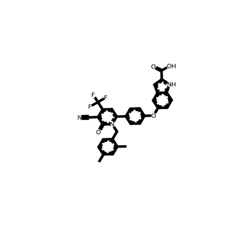 Cc1ccc(Cn2c(-c3ccc(Oc4ccc5[nH]c(C(=O)O)cc5c4)cc3)cc(C(F)(F)F)c(C#N)c2=O)c(C)c1